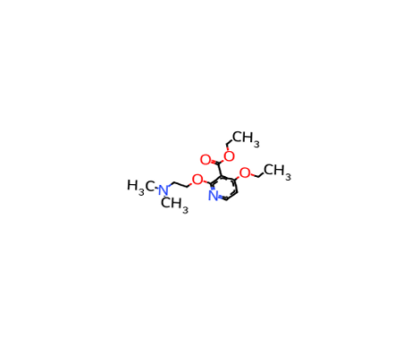 CCOC(=O)c1c(OCC)ccnc1OCCN(C)C